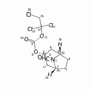 O=CN1[C@@H]2CC[C@H]1C[C@@H](OC(=O)OC(Cl)(Cl)CCl)C2